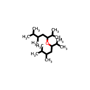 CC(C)C(C)CC(OC(CC(C)C(C)C)C(C)C)C(C)C